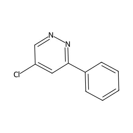 Clc1cnnc(-c2ccccc2)c1